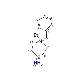 CC[N+]1(Cc2ccccc2)CCC(N)CC1